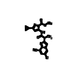 CC(C(=O)Nc1cc(C2CC2)nn1C(=O)OC(C)(C)C)c1cn2cc(Cl)cc(C#N)c2n1